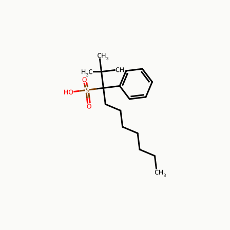 CCCCCCCC(c1ccccc1)(C(C)(C)C)S(=O)(=O)O